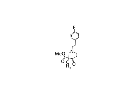 COC(=O)C1(C)CN(CCc2ccc(F)cc2)CCC1=O